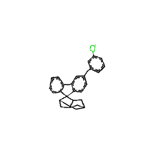 Clc1cccc(-c2ccc3c(c2)-c2ccccc2C32C3CC4CC(C3)C2C4)c1